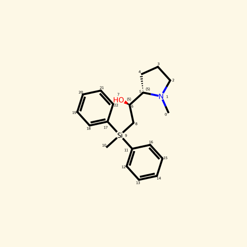 CN1CCC[C@H]1[C@H](O)C[Si](C)(c1ccccc1)c1ccccc1